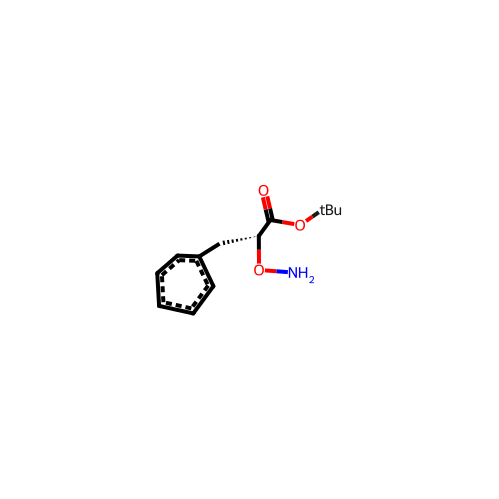 CC(C)(C)OC(=O)[C@@H](Cc1ccccc1)ON